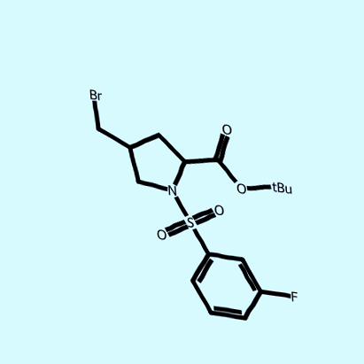 CC(C)(C)OC(=O)C1CC(CBr)CN1S(=O)(=O)c1cccc(F)c1